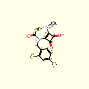 CCCC(=O)N(Cc1ccc(C#N)cc1Cl)c1c(NC(C)(C)C)c(=O)c1=O